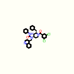 O=C(Nc1ccccc1)N(Cc1ccnc2ccccc12)[C@H]1CCN(C(=O)c2cc(Cl)cc(Cl)c2)[C@H](Cc2ccccc2)C1